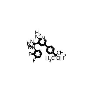 CC(C)(O)c1ccc(-c2cnc(N)c(-c3nnnn3-c3cccc(F)c3F)c2)cc1